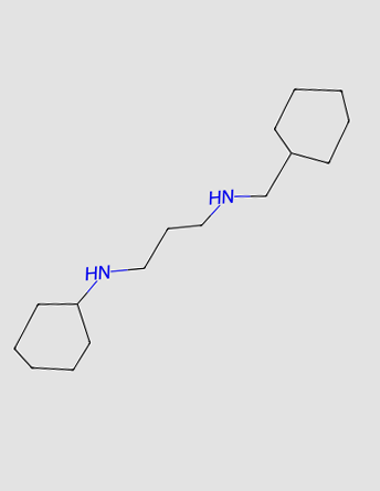 C1CCC(CNCCCNC2CCCCC2)CC1